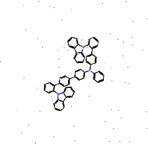 c1ccc(N(c2ccc(-c3ccc(-c4ccccc4-n4c5ccccc5c5ccccc54)cc3)cc2)c2ccc(-c3ccccc3-n3c4ccccc4c4ccccc43)cc2)cc1